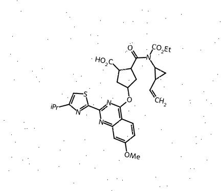 C=CC1CC1N(C(=O)OCC)C(=O)C1CC(Oc2nc(-c3nc(C(C)C)cs3)nc3cc(OC)ccc23)CC1C(=O)O